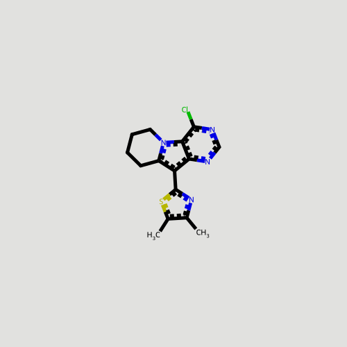 Cc1nc(-c2c3n(c4c(Cl)ncnc24)CCCC3)sc1C